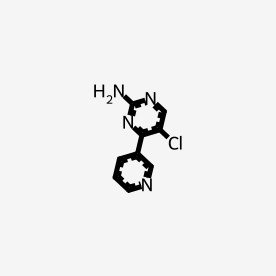 Nc1ncc(Cl)c(-c2cccnc2)n1